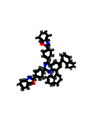 c1ccc2c(-c3cc(-c4cccc5ccccc45)c4nc(-c5ccc(-c6nc7ccccc7o6)cc5)nc(-c5ccc(-c6nc7ccccc7o6)cc5)c4c3)cccc2c1